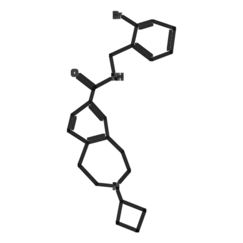 O=C(NCc1ccccc1Br)c1ccc2c(c1)CCN(C1CCC1)CC2